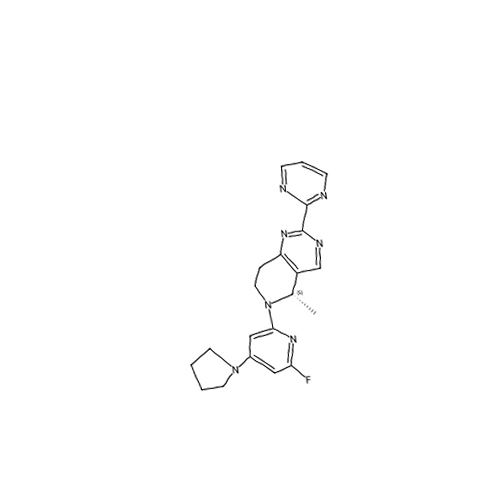 C[C@H]1c2cnc(-c3ncccn3)nc2CCN1c1cc(N2CCCC2)cc(F)n1